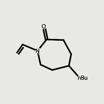 C=CN1CCC(CCCC)CCC1=O